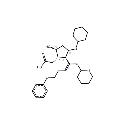 O=C(O)C[C@H]1[C@H](/C(=C\CCOc2ccccc2)OC2CCCCO2)[C@H](OC2CCCCO2)C[C@@H]1O